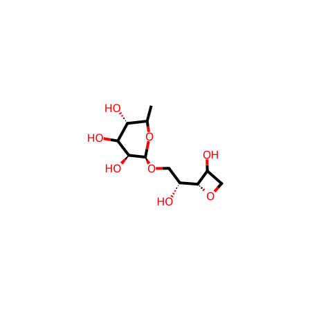 CC1O[C@@H](OC[C@@H](O)[C@H]2OCC2O)[C@@H](O)C(O)[C@@H]1O